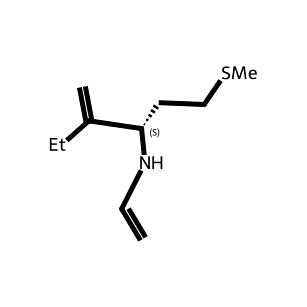 C=CN[C@@H](CCSC)C(=C)CC